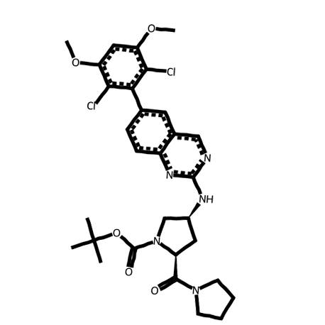 COc1cc(OC)c(Cl)c(-c2ccc3nc(N[C@H]4C[C@@H](C(=O)N5CCCC5)N(C(=O)OC(C)(C)C)C4)ncc3c2)c1Cl